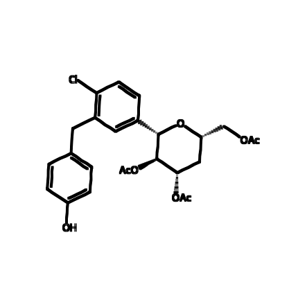 CC(=O)OC[C@@H]1C[C@H](OC(C)=O)[C@@H](OC(C)=O)[C@H](c2ccc(Cl)c(Cc3ccc(O)cc3)c2)O1